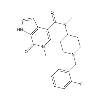 CN(C(=O)c1cn(C)c(=O)c2[nH]ccc12)C1CCN(Cc2ccccc2F)CC1